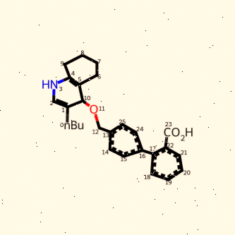 CCCCC1=CNC2=C(CCCC2)C1OCc1ccc(-c2ccccc2C(=O)O)cc1